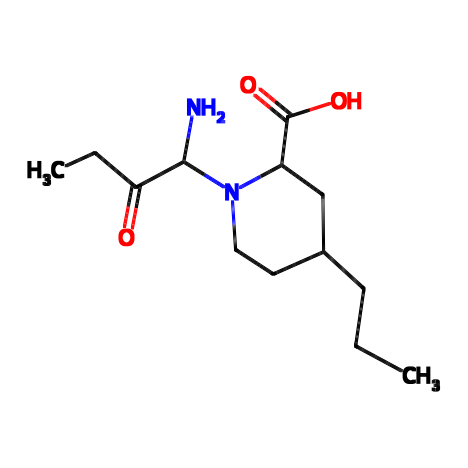 CCCC1CCN(C(N)C(=O)CC)C(C(=O)O)C1